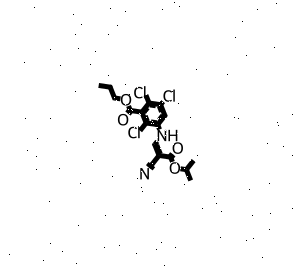 CCCOC(=O)c1c(Cl)c(Cl)cc(NC=C(C#N)C(=O)OC(C)C)c1Cl